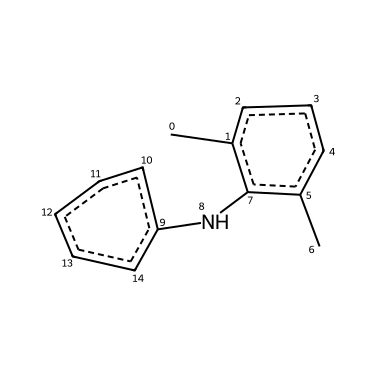 Cc1cccc(C)c1Nc1ccccc1